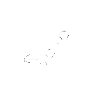 Cc1nccn1CC(C)C(=O)c1ccc(OCc2ccc(Cl)cc2)cc1